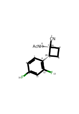 CC(=O)N[C@]1(C#N)CC[C@@H]1c1ccc(F)cc1F